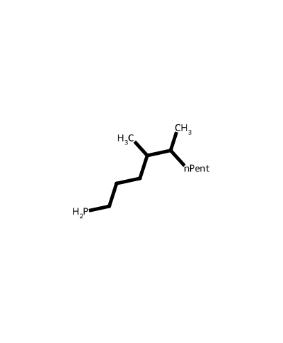 CCCCCC(C)C(C)CCCP